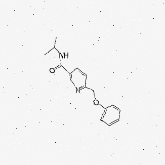 CC(C)NC(=O)c1ccc(COc2ccccc2)nc1